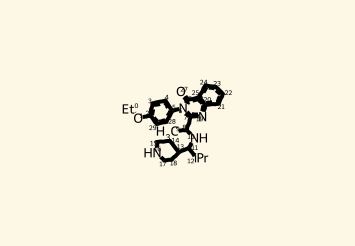 CCOc1ccc(-n2c(C(C)NC(C(C)C)C3CCNCC3)nc3ccccc3c2=O)cc1